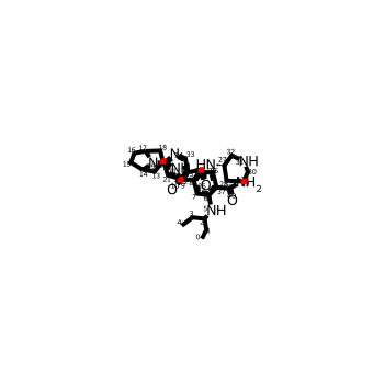 CCC(CC)Nc1cc(C(=O)NC2CC3CCC(C2)N3c2ccc(C(=O)N[C@H]3CCCNC3)cn2)ccc1C(N)=O